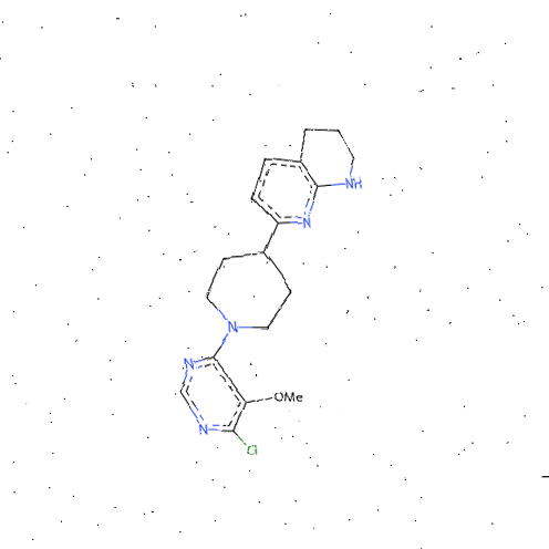 COc1c(Cl)ncnc1N1CCC(c2ccc3c(n2)NCCC3)CC1